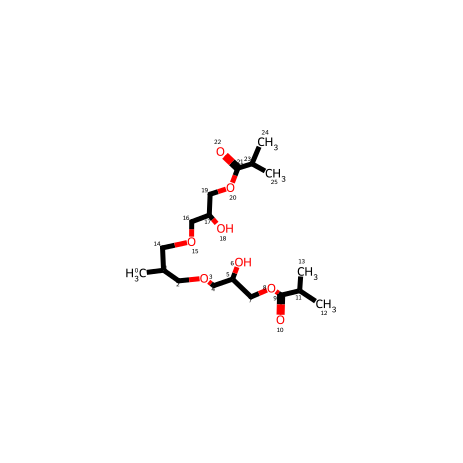 CC(COCC(O)COC(=O)C(C)C)COCC(O)COC(=O)C(C)C